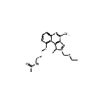 CCOC[N+]1=Nc2c(N)nc3cccc(OCCCNC(C)=O)c3c2C1C